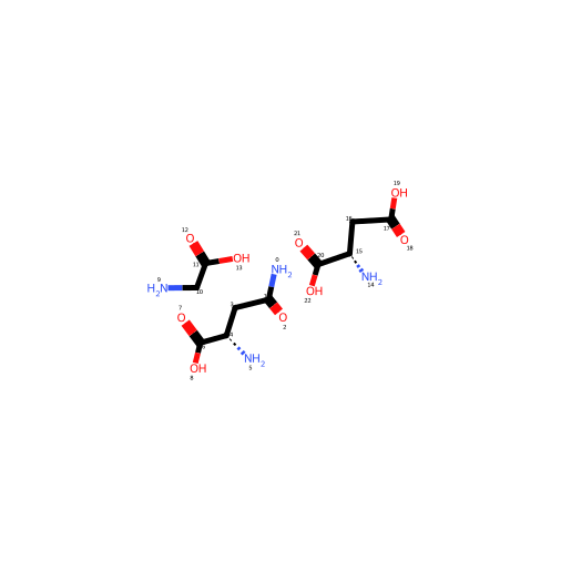 NC(=O)C[C@H](N)C(=O)O.NCC(=O)O.N[C@@H](CC(=O)O)C(=O)O